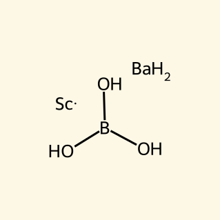 OB(O)O.[BaH2].[Sc]